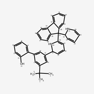 CC(C)(C)c1cc(-c2ccccc2O)cc(C2C=CC=C(C3(C4C=CC=CN4)c4ccccc4-c4ccccc43)N2)c1